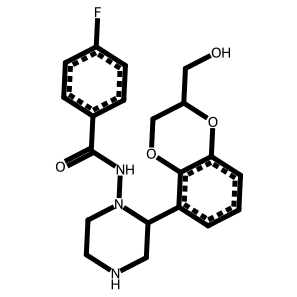 O=C(NN1CCNCC1c1cccc2c1OCC(CO)O2)c1ccc(F)cc1